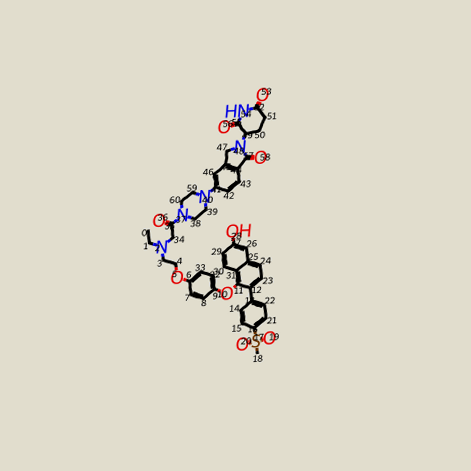 CCN(CCOc1ccc(Oc2c(-c3ccc(S(C)(=O)=O)cc3)ccc3cc(O)ccc23)cc1)CC(=O)N1CCN(c2ccc3c(c2)CN(C2CCC(=O)NC2=O)C3=O)CC1